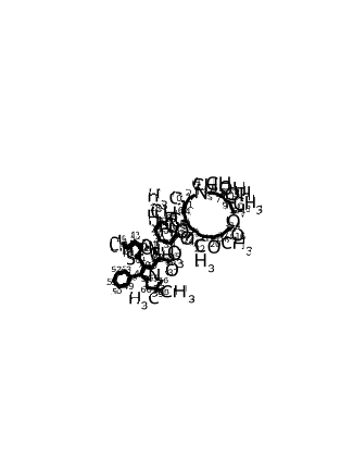 C[C@H]1CN(C)[C@H](C)[C@@H](O)[C@](C)(O)[C@@H](I)OC(=O)[C@H](C)C(=O)[C@H](C)[C@@H](O[C@@H]2O[C@H](C)C[C@H](N(C)C)[C@H]2OC(=O)Cc2c(-c3ccc(Cl)s3)c(-c3ccccc3)c3n2CC(C)(C)C3)[C@](C)(O)C1